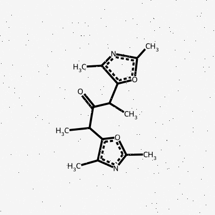 Cc1nc(C)c(C(C)C(=O)C(C)c2oc(C)nc2C)o1